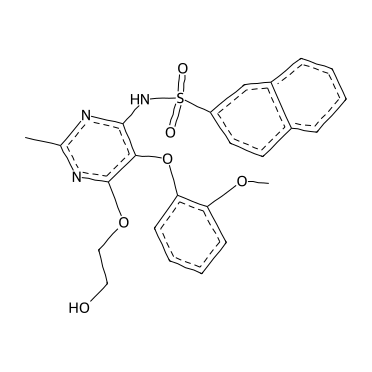 COc1ccccc1Oc1c(NS(=O)(=O)c2ccc3ccccc3c2)nc(C)nc1OCCO